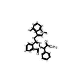 COC(=O)C(c1ccccc1)n1nc(Cc2cn(C)c3cccc(C)c23)c2ccccc2c1=O